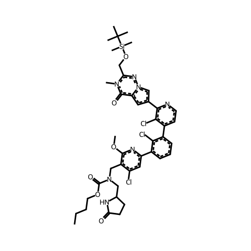 CCCCOC(=O)N(Cc1c(Cl)cc(-c2cccc(-c3ccnc(-c4cc5c(=O)n(C)c(CO[Si](C)(C)C(C)(C)C)nn5c4)c3Cl)c2Cl)nc1OC)CC1CCC(=O)N1